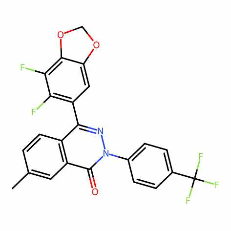 Cc1ccc2c(-c3cc4c(c(F)c3F)OCO4)nn(-c3ccc(C(F)(F)F)cc3)c(=O)c2c1